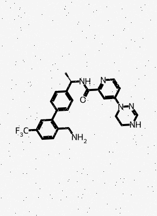 C[C@@H](NC(=O)c1cc(N2CCNC=N2)ccn1)c1ccc(-c2cc(C(F)(F)F)ccc2CN)cc1